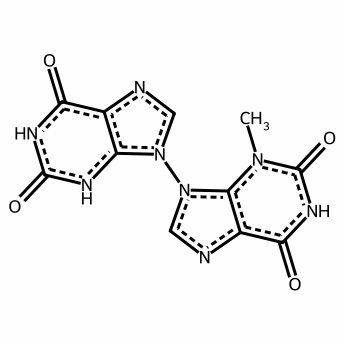 Cn1c(=O)[nH]c(=O)c2ncn(-n3cnc4c(=O)[nH]c(=O)[nH]c43)c21